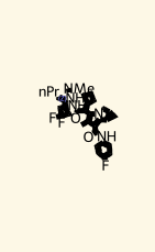 CCC/C=C(\NNC)C1(NC(=O)C(=C2CCC2)c2c(C)c(C(=O)Nc3ccc(F)cc3)c3n2CC2CC32)CC(F)(F)C1